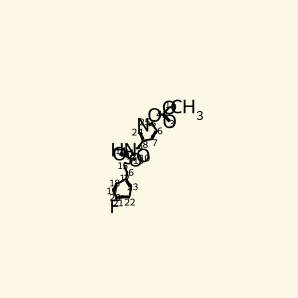 COC(=O)Oc1ccc(C(=O)NS(=O)(=O)CCc2ccc(F)cc2)cn1